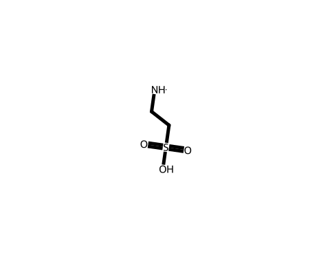 [NH]CCS(=O)(=O)O